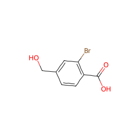 O=C(O)c1ccc(CO)cc1Br